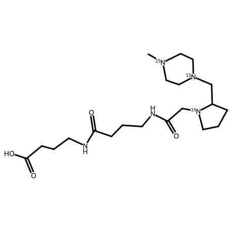 C[15N]1CC[15N](CC2CCC[15N]2CC(=O)NCCCC(=O)NCCCC(=O)O)CC1